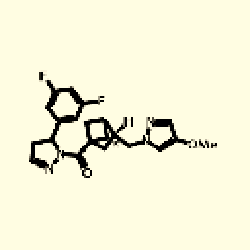 COc1cnn(C[C@@H]2CC3(C(=O)N4N=CCC4c4cc(F)cc(F)c4)CC2C3)c1